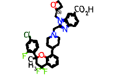 CC1(c2ccc(Cl)cc2F)CC(F)(F)c2cccc(C3CCN(Cc4nc5ccc(C(=O)O)cc5n4C[C@@H]4CCO4)CC3)c2O1